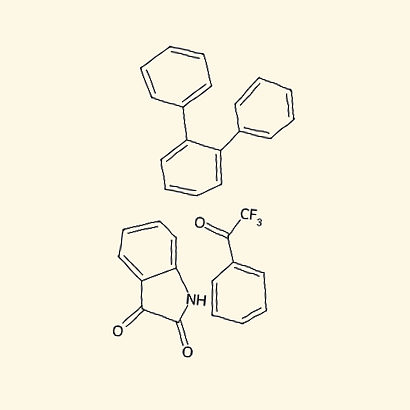 O=C(c1ccccc1)C(F)(F)F.O=C1Nc2ccccc2C1=O.c1ccc(-c2ccccc2-c2ccccc2)cc1